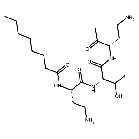 CCCCCCCC(=O)N[C@@H](CCN)C(=O)N[C@H](C(=O)N[C@@H](CCN)C(C)=O)C(C)O